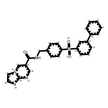 O=C(NCc1ccc(S(=O)(=O)c2cccc(-c3ccccc3)c2)cc1)c1cnc2nccn2c1